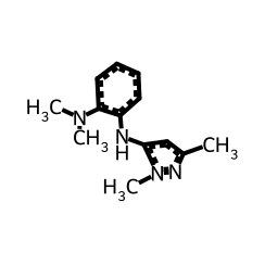 Cc1cc(Nc2ccccc2N(C)C)n(C)n1